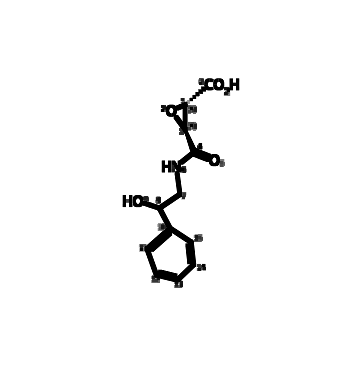 O=C(O)[C@H]1O[C@@H]1C(=O)NCC(O)c1ccccc1